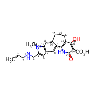 C=CCNCc1cc2cc3c(cc2n1C)CCCc1c-3[nH]c(=O)c(C(=O)O)c1O